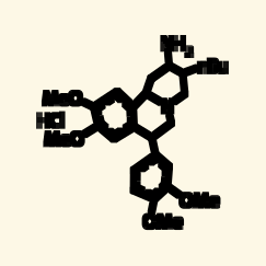 CCCCC1CN2CC(c3ccc(OC)c(OC)c3)c3cc(OC)c(OC)cc3C2CC1N.Cl